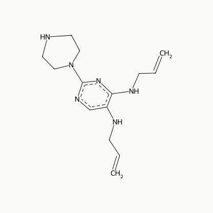 C=CCNc1cnc(N2CCNCC2)nc1NCC=C